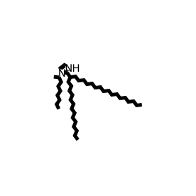 CCCCCCCCCCCCCCCCCC(CCCCCCCCCCCCCC)c1[nH]cc[n+]1C(C)CCCCCCC